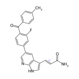 Cc1ccc(C(=O)c2ccc(-c3cnc4[nH]cc(/C=C/C(N)=O)c4c3)cc2F)cc1